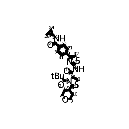 CC(C)(C)C(=O)N1C(C2CCOCC2)SC[C@H]1C(=O)Nc1nc(-c2ccc(C(=O)NC3CC3)cc2)cs1